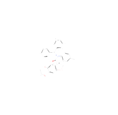 Cc1ccc2c(c1)C1(COc3cc4c(cc31)OCCO4)C(=O)N2C(c1ccccc1)c1ccccc1